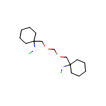 ClNC1(COCOCC2(NCl)CCCCC2)CCCCC1